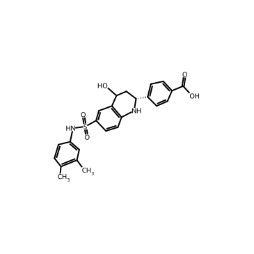 Cc1ccc(NS(=O)(=O)c2ccc3c(c2)C(O)C[C@H](c2ccc(C(=O)O)cc2)N3)cc1C